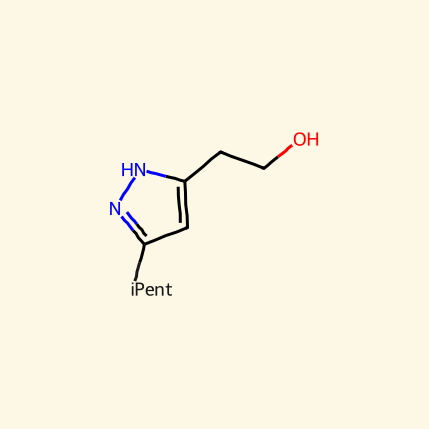 CCCC(C)c1cc(CCO)[nH]n1